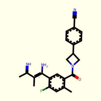 CC(=N)/C(C)=C(\N)c1cc(C(=O)N2CC(c3ccc(C#N)cc3)C2)c(C)cc1F